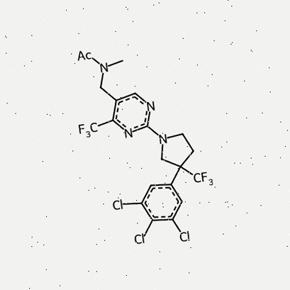 CC(=O)N(C)Cc1cnc(N2CCC(c3cc(Cl)c(Cl)c(Cl)c3)(C(F)(F)F)C2)nc1C(F)(F)F